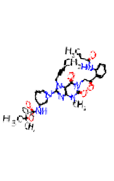 CC#CCn1c(N2CCC[C@H](NC(=O)OC(C)(C)C)C2)nc2c1c(=O)n(CC(=O)c1ccccc1NC(=O)CC)c(=O)n2C